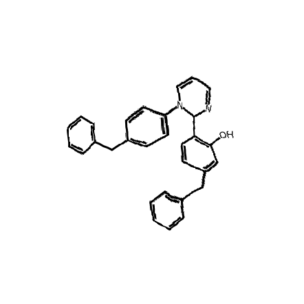 Oc1cc(Cc2ccccc2)ccc1C1N=CC=CN1c1ccc(Cc2ccccc2)cc1